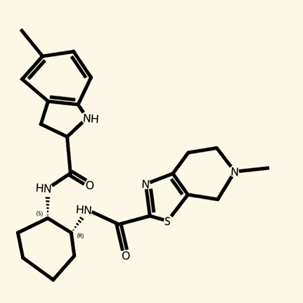 Cc1ccc2c(c1)CC(C(=O)N[C@H]1CCCC[C@H]1NC(=O)c1nc3c(s1)CN(C)CC3)N2